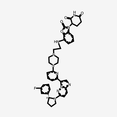 O=C1CCC(n2c(=O)oc3c(NCCN4CCN(c5cccc(-c6cnc7ccc(N8CCC[C@@H]8c8cccc(F)c8)nn67)n5)CC4)cccc32)C(=O)N1